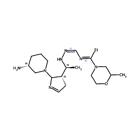 CC/C(=N\C=N/N[C@@H](C)[C@@H]1CC=NC1N1CCC[C@@H](N)C1)N1CCOC(C)C1